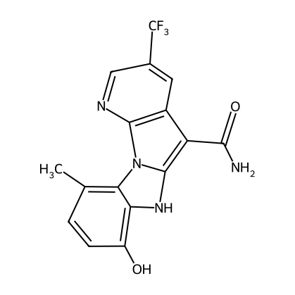 Cc1ccc(O)c2[nH]c3c(C(N)=O)c4cc(C(F)(F)F)cnc4n3c12